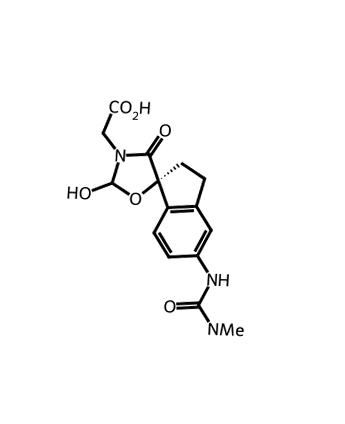 CNC(=O)Nc1ccc2c(c1)CC[C@@]21OC(O)N(CC(=O)O)C1=O